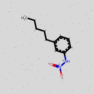 CCCCCc1cccc(N[N+](=O)[O-])c1